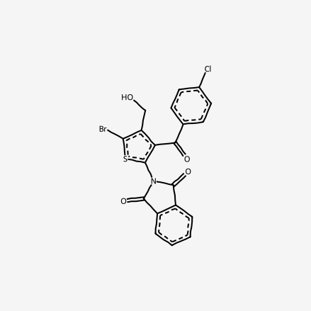 O=C(c1ccc(Cl)cc1)c1c(N2C(=O)c3ccccc3C2=O)sc(Br)c1CO